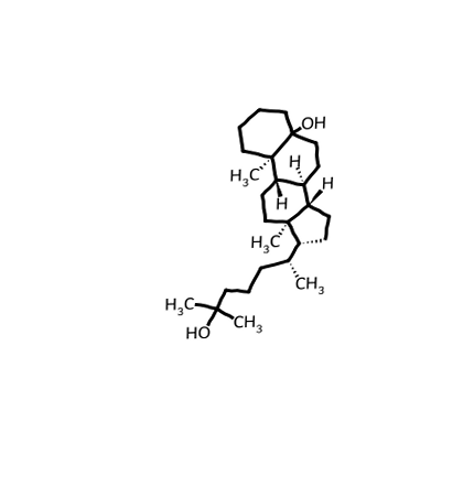 C[C@H](CCCC(C)(C)O)[C@H]1CC[C@H]2[C@@H]3CCC4(O)CCCC[C@]4(C)[C@H]3CC[C@]12C